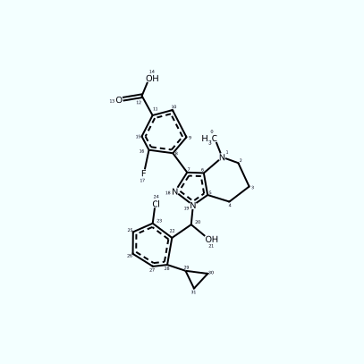 CN1CCCc2c1c(-c1ccc(C(=O)O)cc1F)nn2C(O)c1c(Cl)cccc1C1CC1